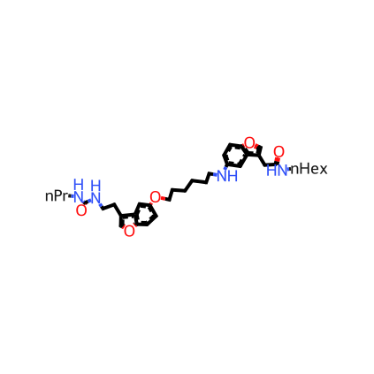 CCCCCCNC(=O)Cc1coc2ccc(NCCCCCCOc3ccc4occ(CCNC(=O)NCCC)c4c3)cc12